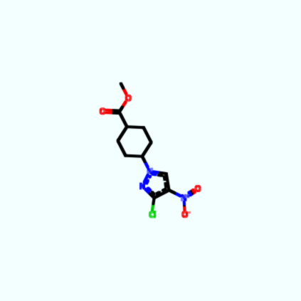 COC(=O)C1CCC(n2cc([N+](=O)[O-])c(Cl)n2)CC1